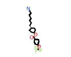 N#C/C=C/C=C/CC[C@H]1CC[C@H](OC(=O)c2ccc(OC(F)(F)F)cc2)CC1